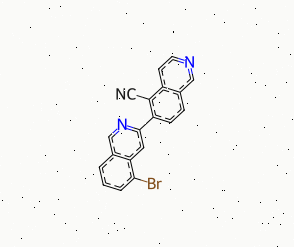 N#Cc1c(-c2cc3c(Br)cccc3cn2)ccc2cnccc12